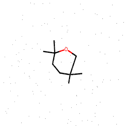 CC1(C)CCC(C)(C)OC1